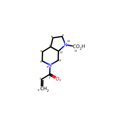 C=CC(=O)N1CCC2CCN(C(=O)O)C2C1